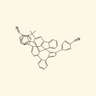 CC1(C)c2ccccc2-c2cc3c(cc21)-c1ccccc1C31c2cc(-c3ccc(C#N)cc3)ccc2-c2ccccc2-c2ccc(-c3ccc(C#N)cc3)cc21